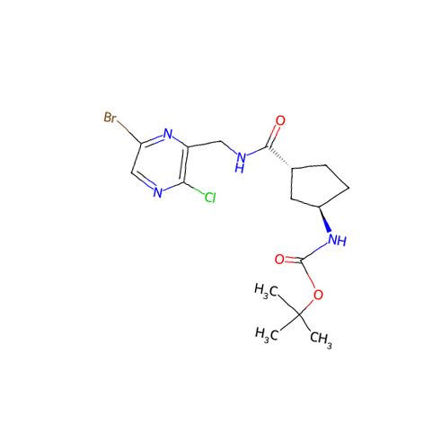 CC(C)(C)OC(=O)N[C@@H]1CC[C@@H](C(=O)NCc2nc(Br)cnc2Cl)C1